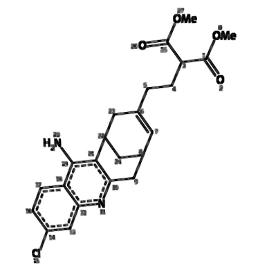 COC(=O)C(CCC1=CC2Cc3nc4cc(Cl)ccc4c(N)c3C(C1)C2)C(=O)OC